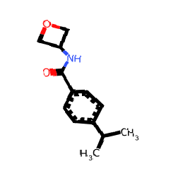 CC(C)c1ccc(C(=O)NC2COC2)cc1